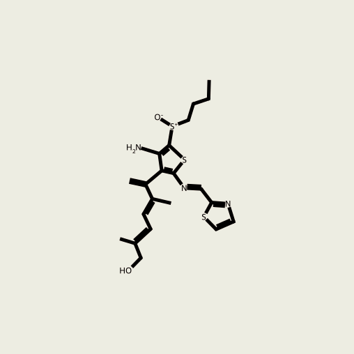 C=C(/C(C)=C/C=C(\C)CO)c1c(/N=C/c2nccs2)sc([S+]([O-])CCCC)c1N